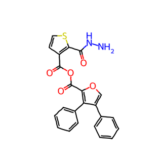 NNC(=O)c1sccc1C(=O)OC(=O)c1occ(-c2ccccc2)c1-c1ccccc1